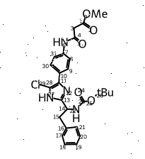 COC(=O)CC(=O)Nc1ccc(-c2nc(C(Cc3ccccc3)NC(=O)OC(C)(C)C)[nH]c2Cl)cc1